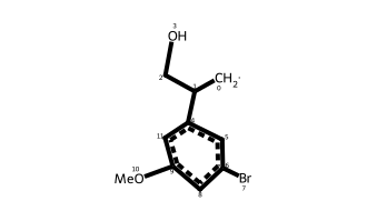 [CH2]C(CO)c1cc(Br)cc(OC)c1